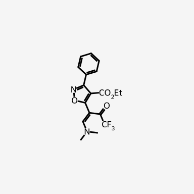 CCOC(=O)c1c(-c2ccccc2)noc1/C(=C/N(C)C)C(=O)C(F)(F)F